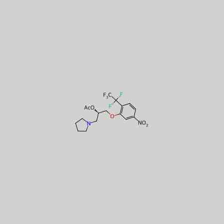 CC(=O)O[C@@H](COc1cc([N+](=O)[O-])ccc1C(F)(F)C(F)(F)F)CN1CCCC1